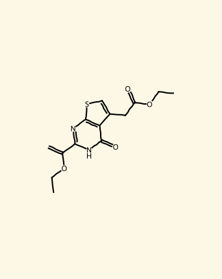 C=C(OCC)c1nc2scc(CC(=O)OCC)c2c(=O)[nH]1